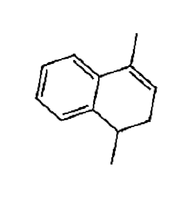 C[C]1CC=C(C)c2ccccc21